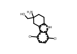 NC1(CO)CCc2[nH]c3c(Cl)ccc(Cl)c3c2C1